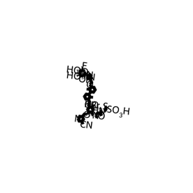 Cc1c(COc2cc(OCc3cncc(C#N)c3)c(CN(C)CC(=O)NCC(S(=O)(=O)O)S(=O)(=O)O)cc2Br)cccc1-c1cccc(OCc2cn([C@@H]3O[C@H](CF)[C@@H](O)[C@H](O)[C@H]3O)nn2)c1C